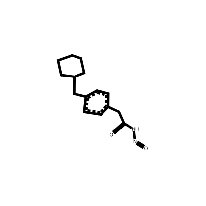 O=NNC(=O)Cc1ccc(CC2CCCCC2)cc1